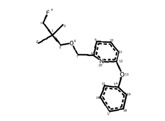 CC(C)(CF)COCc1cccc(Oc2ccccc2)n1